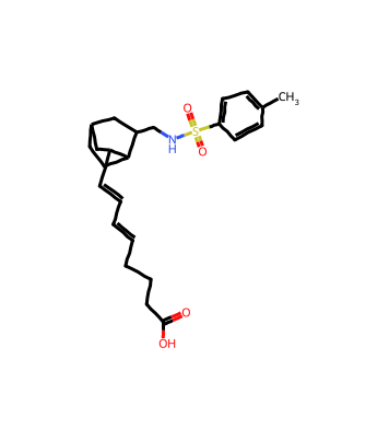 Cc1ccc(S(=O)(=O)NCC2CC3CCC2C(/C=C/C=C/CCCC(=O)O)C3)cc1